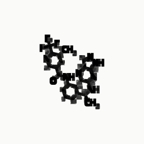 Cc1cc(C(=O)Nc2cccc([C@H](C)Nc3cnc4cn[nH]c4n3)c2)cnc1C(F)(F)F